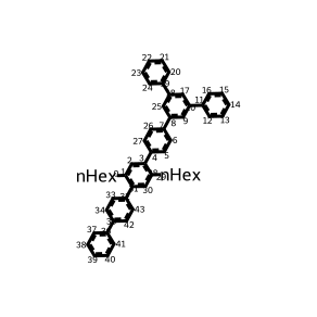 CCCCCCc1cc(-c2ccc(-c3cc(-c4ccccc4)cc(-c4ccccc4)c3)cc2)c(CCCCCC)cc1-c1ccc(-c2ccccc2)cc1